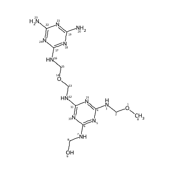 COCNc1nc(NCO)nc(NCOCNc2nc(N)nc(N)n2)n1